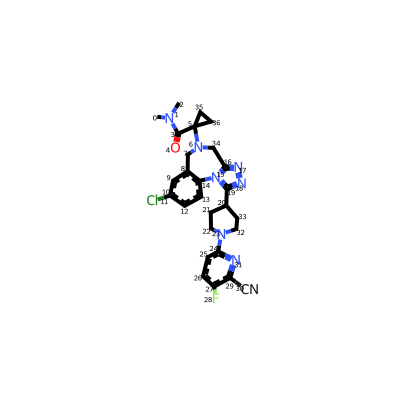 CN(C)C(=O)C1(N2Cc3cc(Cl)ccc3-n3c(nnc3C3CCN(c4ccc(F)c(C#N)n4)CC3)C2)CC1